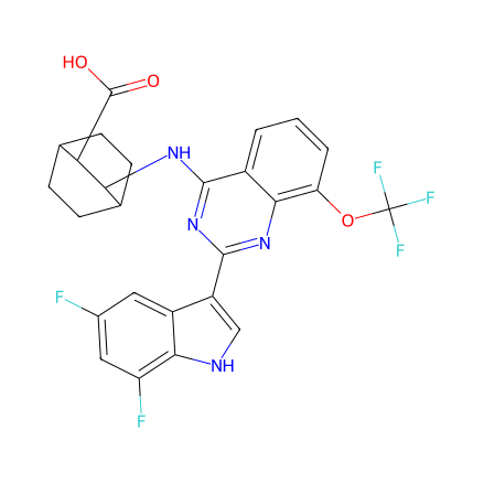 O=C(O)C1C2CCC(CC2)C1Nc1nc(-c2c[nH]c3c(F)cc(F)cc23)nc2c(OC(F)(F)F)cccc12